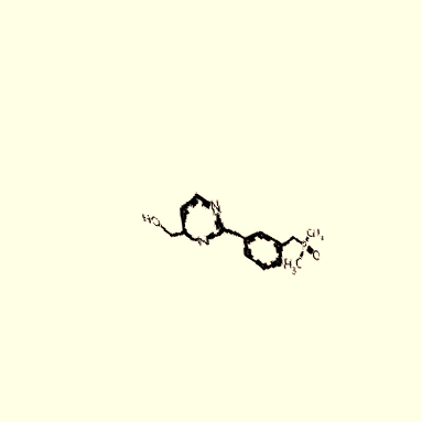 CP(C)(=O)Cc1cccc(-c2nccc(CO)n2)c1